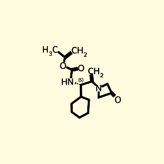 C=C(C)OC(=O)N[C@H](C(=C)N1CC(=O)C1)C1CCCCC1